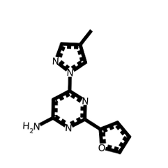 Cc1cnn(-c2cc(N)nc(-c3ccco3)n2)c1